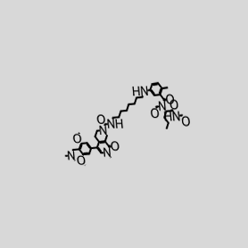 CCCC(C(=O)NC=O)N(C=O)C(=O)c1cc(NCCCCCCCCNC(=O)N2CCc3c(-c4cc(OC)c(CN(C)C)c(OC)c4)cn(C)c(=O)c3C2)ccc1C